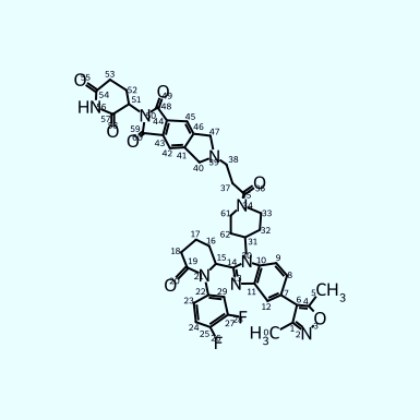 Cc1noc(C)c1-c1ccc2c(c1)nc(C1CCCC(=O)N1c1ccc(F)c(F)c1)n2C1CCN(C(=O)CCN2Cc3cc4c(cc3C2)C(=O)N(C2CCC(=O)NC2=O)C4=O)CC1